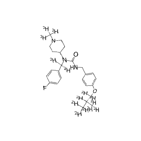 [2H]C([2H])([2H])N1CCC(N(C(=O)NCc2ccc(OC([2H])([2H])C([2H])(C([2H])([2H])[2H])C([2H])([2H])[2H])cc2)C([2H])([2H])c2ccc(F)cc2)CC1